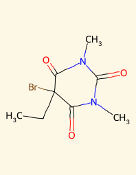 CCC1(Br)C(=O)N(C)C(=O)N(C)C1=O